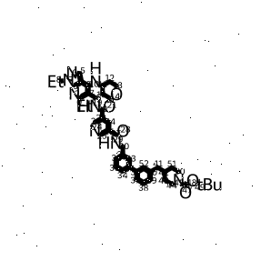 CCc1nc2c(cnn2CC)c(NC2CCOCC2)c1CNC(=O)c1cncc(C(=O)NCc2cccc(-c3cccc(CC4CCN(C(=O)OC(C)(C)C)CC4)c3)c2)c1